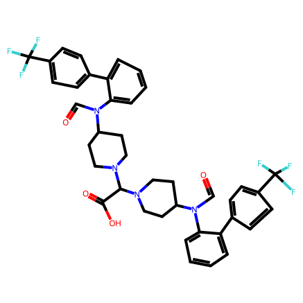 O=CN(c1ccccc1-c1ccc(C(F)(F)F)cc1)C1CCN(C(C(=O)O)N2CCC(N(C=O)c3ccccc3-c3ccc(C(F)(F)F)cc3)CC2)CC1